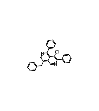 Clc1c(-c2ccccc2)ncc2c(Cc3ccccc3)cnc(-c3ccccc3)c12